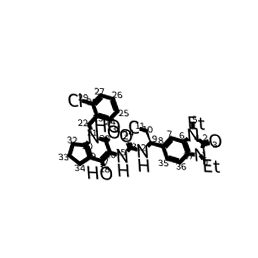 CCn1c(=O)n(CC)c2cc([C@H](CC(=O)O)NC(=O)Nc3c(O)c4c(n(Cc5ccccc5Cl)c3=O)CCC4)ccc21